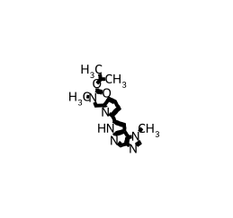 CC(C)OC(=O)N(C)Cc1cccc(-c2cc3c(ncc4ncn(C)c43)[nH]2)n1